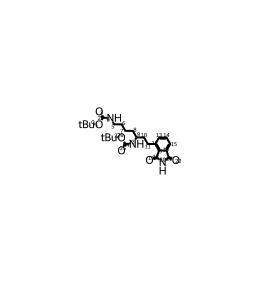 CC(C)(C)OC(=O)NCCCCC(CCc1cccc2c1C(=O)NC2=O)NC(=O)OC(C)(C)C